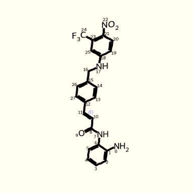 Nc1ccccc1NC(=O)/C=C/c1ccc(CNc2ccc([N+](=O)[O-])c(C(F)(F)F)c2)cc1